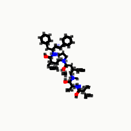 CC[C@H](C)[C@@H]([C@@H](CC(=O)N1CCC[C@H]1[C@H](OC)[C@@H](C)C(=O)NC(/C=C/c1ccccc1)Cc1ccccc1)OC)N(C)C(=O)[C@@H](NC(=O)[C@@H](NC)C(C)C)C(C)C